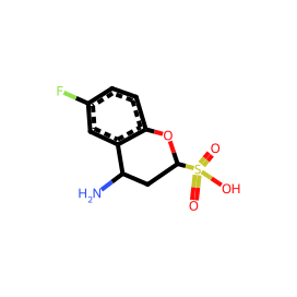 NC1CC(S(=O)(=O)O)Oc2ccc(F)cc21